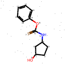 OC1CCC(NC(=S)Oc2ccccc2)C1